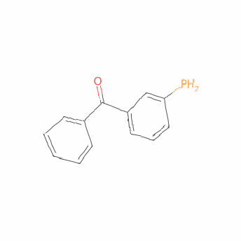 O=C(c1ccccc1)c1cccc(P)c1